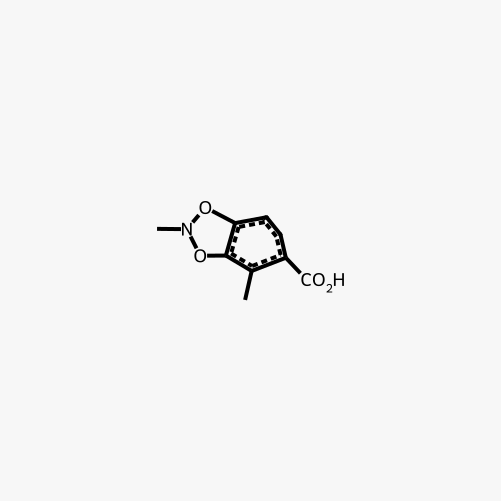 Cc1c(C(=O)O)ccc2c1ON(C)O2